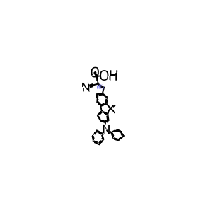 CC1(C)c2cc(/C=C(\C#N)C(=O)O)ccc2-c2ccc(N(c3ccccc3)c3ccccc3)cc21